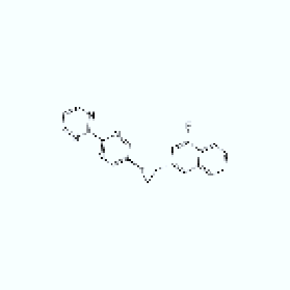 Fc1cc([C@@H]2C[C@H]2c2cnc(-c3ncccn3)nc2)cc2ccccc12